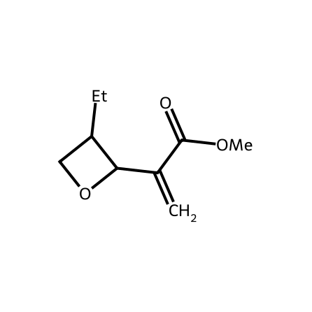 C=C(C(=O)OC)C1OCC1CC